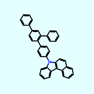 c1ccc(-c2ccc(-c3ccc(-n4c5ccccc5c5c6ccccc6ccc54)cc3)c(-c3ccccc3)c2)cc1